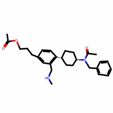 CNCc1cc(CCCOC(C)=O)ccc1[C@H]1CC[C@H](N(Cc2ccccc2)C(C)=O)CC1